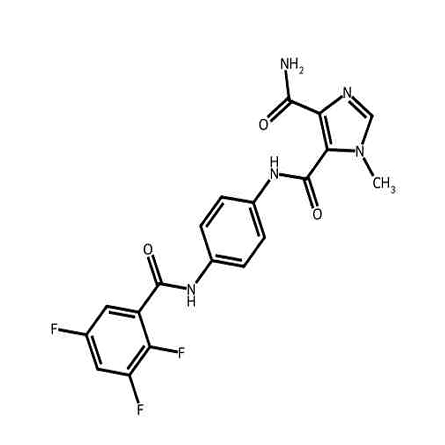 Cn1cnc(C(N)=O)c1C(=O)Nc1ccc(NC(=O)c2cc(F)cc(F)c2F)cc1